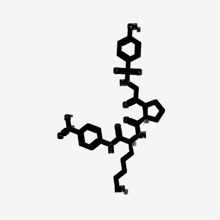 Cc1ccc(S(=O)(=O)NCC(=O)N2CCC[C@H]2C(=O)N[C@@H](CCCCN)C(=O)Nc2ccc([N+](=O)[O-])cc2)cc1